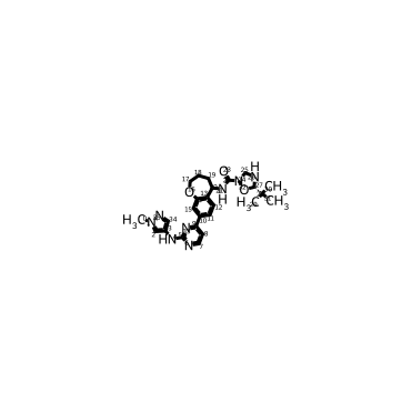 Cn1cc(Nc2nccc(-c3ccc4c(c3)OCCCC4NC(=O)N3CN[C@H](C(C)(C)C)O3)n2)cn1